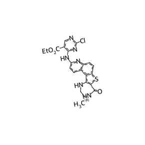 CCOC(=O)c1cnc(Cl)nc1Nc1ccc2c(ccc3sc4c(c32)NC[C@@H](C)NC4=O)n1